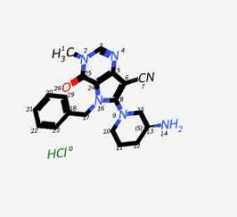 Cl.Cn1cnc2c(C#N)c(N3CCC[C@H](N)C3)n(Cc3ccccc3)c2c1=O